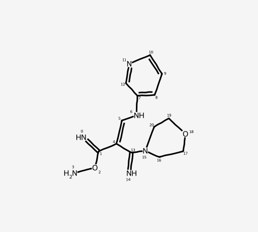 N=C(ON)/C(=C/Nc1cccnc1)C(=N)N1CCOCC1